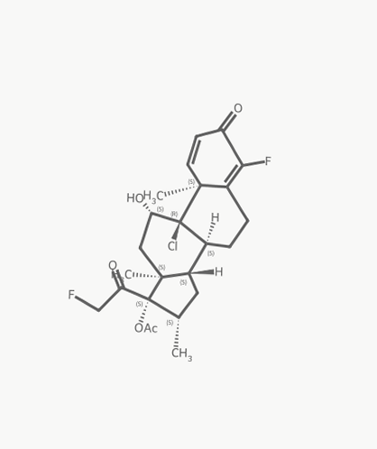 CC(=O)O[C@@]1(C(=O)CF)[C@@H](C)C[C@H]2[C@@H]3CCC4=C(F)C(=O)C=C[C@]4(C)[C@@]3(Cl)[C@@H](O)C[C@@]21C